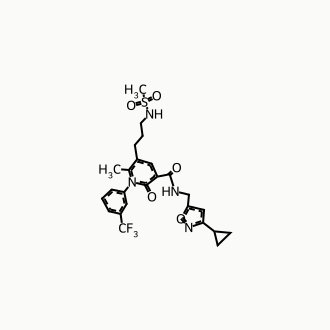 Cc1c(CCCNS(C)(=O)=O)cc(C(=O)NCc2cc(C3CC3)no2)c(=O)n1-c1cccc(C(F)(F)F)c1